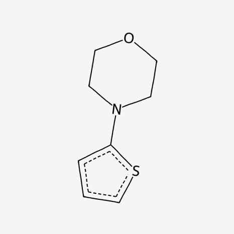 c1csc(N2CCOCC2)c1